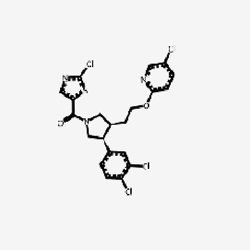 O=C(c1cnc(Cl)s1)N1C[C@@H](CCOc2ccc(Cl)cn2)[C@@H](c2ccc(Cl)c(Cl)c2)C1